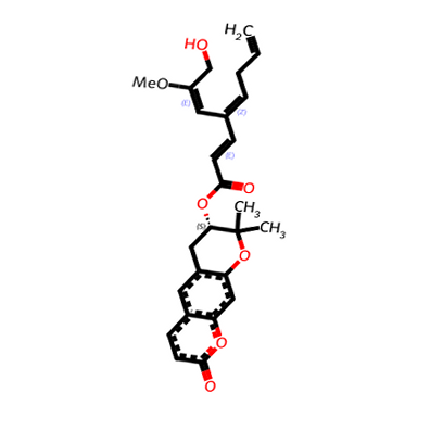 C=CC/C=C(/C=C/C(=O)O[C@H]1Cc2cc3ccc(=O)oc3cc2OC1(C)C)\C=C(/CO)OC